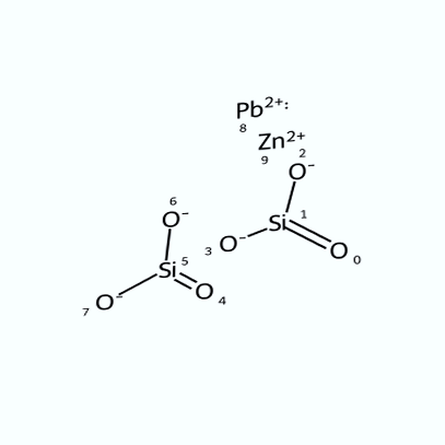 O=[Si]([O-])[O-].O=[Si]([O-])[O-].[Pb+2].[Zn+2]